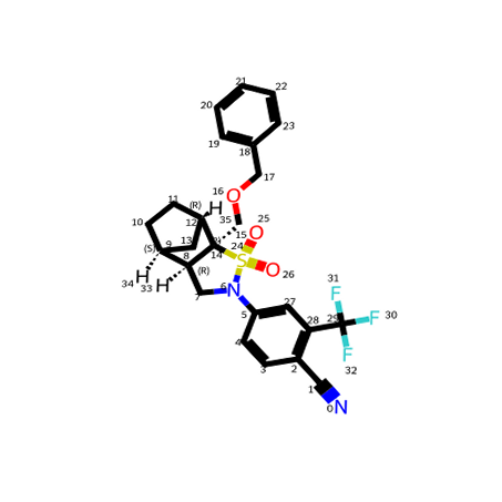 N#Cc1ccc(N2C[C@H]3[C@H]4CC[C@H](C4)[C@@]3(COCc3ccccc3)S2(=O)=O)cc1C(F)(F)F